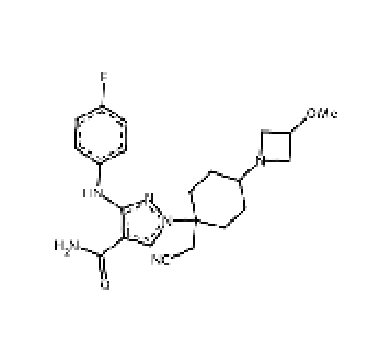 COC1CN(C2CCC(CC#N)(n3cc(C(N)=O)c(Nc4ccc(F)cc4)n3)CC2)C1